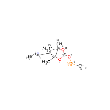 B/C=C/CC1(C)OB(OPC)OC1(C)C